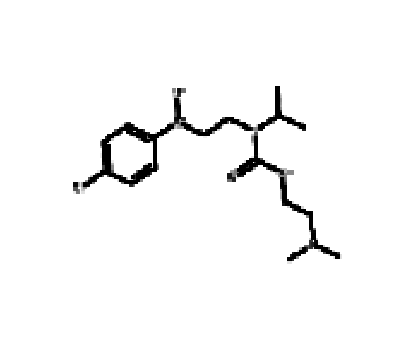 CC(C)N(CC[S+]([O-])c1ccc(Cl)cc1)C(=O)NCCN(C)C